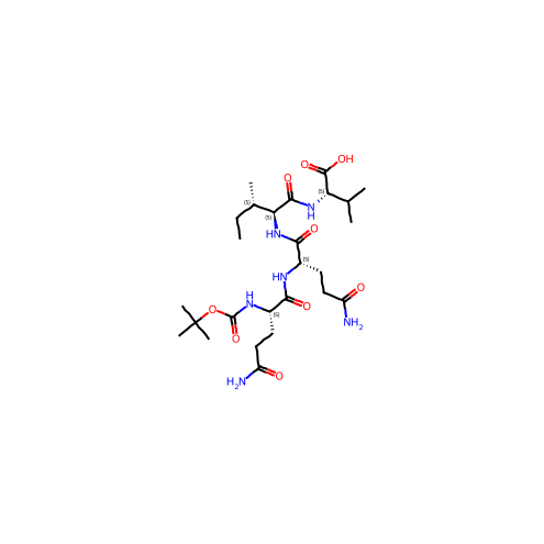 CC[C@H](C)[C@H](NC(=O)[C@H](CCC(N)=O)NC(=O)[C@H](CCC(N)=O)NC(=O)OC(C)(C)C)C(=O)N[C@H](C(=O)O)C(C)C